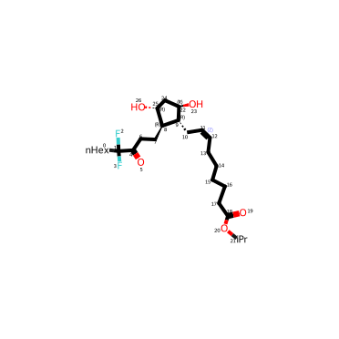 CCCCCCC(F)(F)C(=O)CC[C@@H]1[C@@H](C/C=C\CCCCCC(=O)OC(C)C)[C@H](O)C[C@H]1O